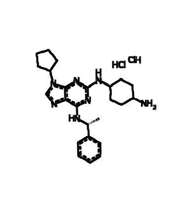 C[C@@H](Nc1nc(NC2CCC(N)CC2)nc2c1ncn2C1CCCC1)c1ccccc1.Cl.Cl